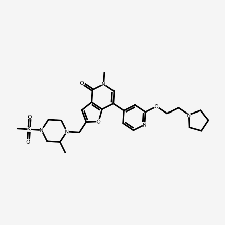 CC1CN(S(C)(=O)=O)CCN1Cc1cc2c(=O)n(C)cc(-c3ccnc(OCCN4CCCC4)c3)c2o1